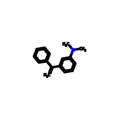 C=C(c1ccccc1)c1cccc(N(C)C)c1